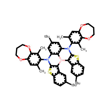 Cc1cc2c(c(C)c1N1c3cc(C(C)(C)C)cc4c3B(c3c1sc1ccc(C(C)(C)C)cc31)c1c(sc3ccc(C(C)(C)C)cc13)N4c1c(C)cc3c(c1C)OCCCO3)OCCCO2